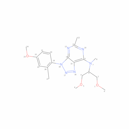 COCC(COC)N(C)c1nc(C)nc2c1nnn2-c1ccc(OC)cc1C